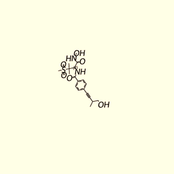 CC(C#Cc1ccc(C(=O)N[C@H](C(=O)NO)C(C)(C)S(C)(=O)=O)cc1)CO